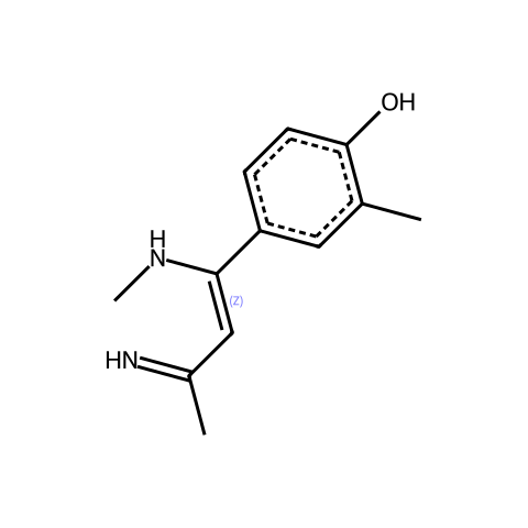 CN/C(=C\C(C)=N)c1ccc(O)c(C)c1